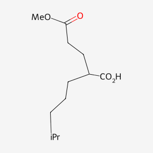 COC(=O)CCC(CCCC(C)C)C(=O)O